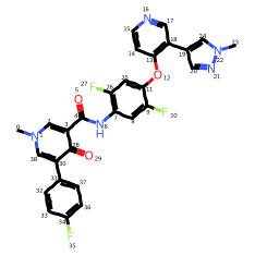 Cn1cc(C(=O)Nc2cc(F)c(Oc3ccncc3-c3cnn(C)c3)cc2F)c(=O)c(-c2ccc(F)cc2)c1